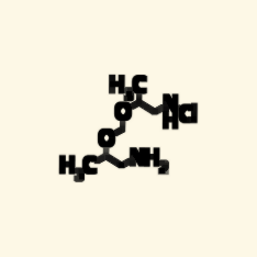 CC(CN)OCOC(C)CNCl